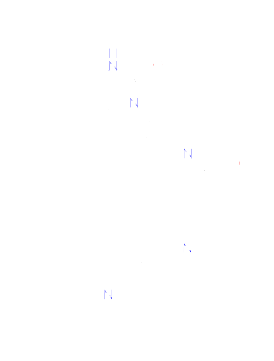 O=C(C1CCN(Cc2ccncc2)CC1)N1CCC(n2c(=O)[nH]c3ccc(CI)cc32)CC1